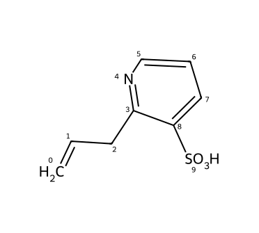 C=CCc1ncccc1S(=O)(=O)O